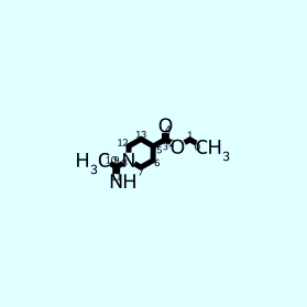 CCOC(=O)C1CCN(C(C)=N)CC1